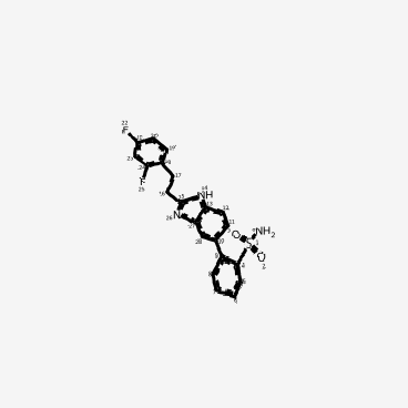 NS(=O)(=O)c1ccccc1-c1ccc2[nH]c(CCc3ccc(F)cc3F)nc2c1